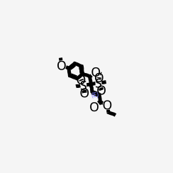 CCOC(=O)/C=C/C(C(OC)c1ccc(OC)cc1)(S(C)(=O)=O)S(C)(=O)=O